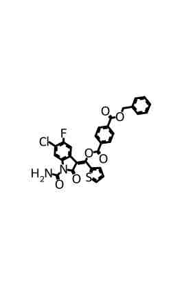 NC(=O)N1C(=O)C(=C(OC(=O)c2ccc(C(=O)OCc3ccccc3)cc2)c2cccs2)c2cc(F)c(Cl)cc21